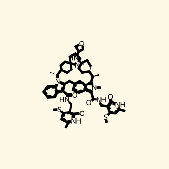 CSc1cc(C)[nH]c(=O)c1CNC(=O)c1c(Cc2ccc3c(C(=O)NCc4c(SC)cc(C)[nH]c4=O)n(C)c([C@H](C)[C@H]4CC[C@H](NC5COC5)CC4)c3c2)n([C@H](C)C2CCC3(CCCN3)CC2)c2ccccc12